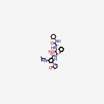 CC(C)CNc1cc(C(=O)N[C@@H](Cc2ccccc2)[C@H](O)CN[C@@H](C)C(=O)NC2CCCCC2)cc(N2CCCC2=O)c1